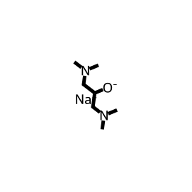 CN(C)CC([O-])CN(C)C.[Na+]